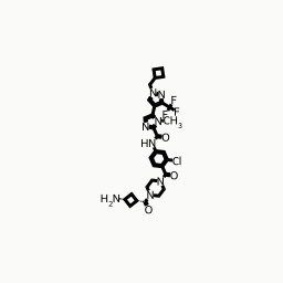 Cn1c(-c2cn(CC3CCC3)nc2C(F)(F)F)cnc1C(=O)Nc1ccc(C(=O)N2CCN(C(=O)[C@H]3C[C@@H](N)C3)CC2)c(Cl)c1